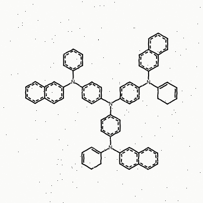 C1=CCCC(N(c2ccc(N(c3ccc(N(C4=CC=CCC4)c4ccc5ccccc5c4)cc3)c3ccc(N(c4ccccc4)c4ccc5ccccc5c4)cc3)cc2)c2ccc3ccccc3c2)=C1